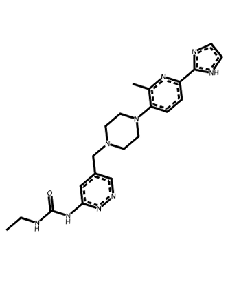 CCNC(=O)Nc1cc(CN2CCN(c3ccc(-c4ncc[nH]4)nc3C)CC2)cnn1